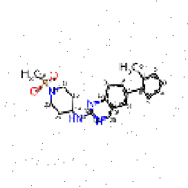 Cc1ccccc1-c1ccc2nc(NC3CCN(S(C)(=O)=O)CC3)ncc2c1